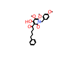 COc1ccc(Cn2c(OC)c(OC)c(O)c(C(=O)CCCCc3ccccc3)c2=O)cc1